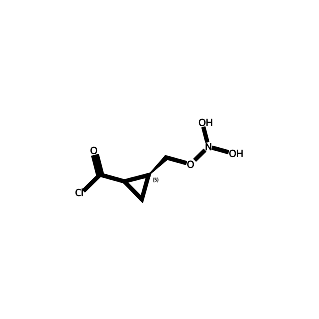 O=C(Cl)C1C[C@@H]1CON(O)O